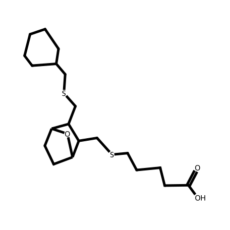 O=C(O)CCCCSCC1C2CCC(O2)C1CSCC1CCCCC1